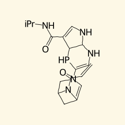 C=CC(=O)N1C2=CN(C3=CNC4NC=C(C(=O)NC(C)C)C4P3)CC1C2